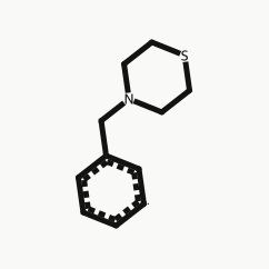 [c]1cccc(CN2CCSCC2)c1